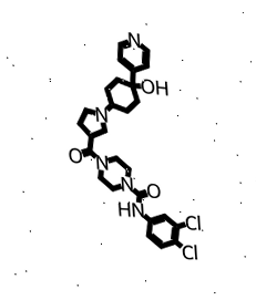 O=C(Nc1ccc(Cl)c(Cl)c1)N1CCN(C(=O)C2CCN(C3CCC(O)(c4ccncc4)CC3)C2)CC1